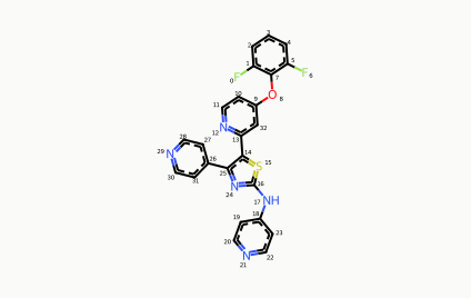 Fc1cccc(F)c1Oc1ccnc(-c2sc(Nc3ccncc3)nc2-c2ccncc2)c1